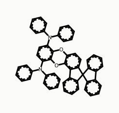 c1ccc(N(c2ccccc2)c2ccc(N(c3ccccc3)c3ccccc3)c3c2Oc2ccc4c(c2O3)-c2ccccc2C42c3ccccc3-c3ccccc32)cc1